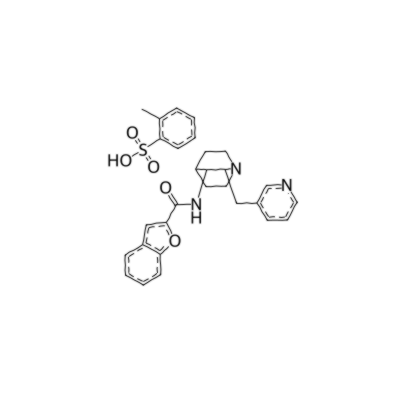 Cc1ccccc1S(=O)(=O)O.O=C(NC1C2CCN(CC2)C1Cc1cccnc1)c1cc2ccccc2o1